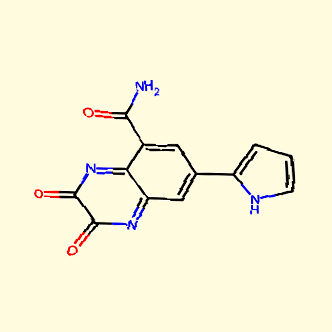 NC(=O)c1cc(-c2ccc[nH]2)cc2c1=NC(=O)C(=O)N=2